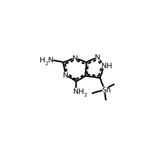 [CH3][Sn]([CH3])([CH3])[c]1[nH]nc2nc(N)nc(N)c12